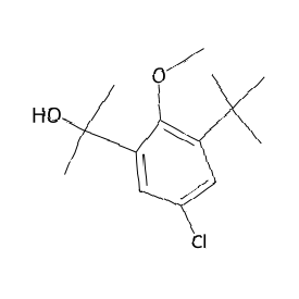 COc1c(C(C)(C)C)cc(Cl)cc1C(C)(C)O